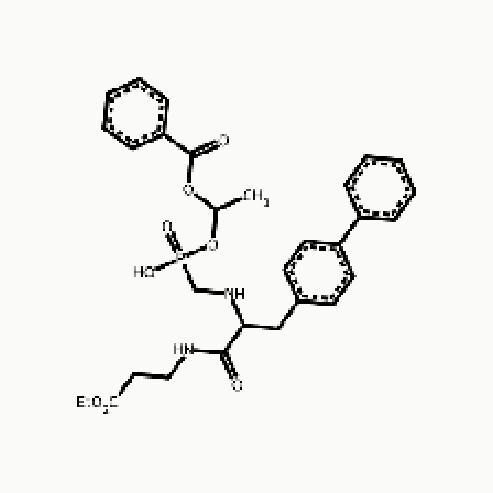 CCOC(=O)CCNC(=O)C(Cc1ccc(-c2ccccc2)cc1)NCP(=O)(O)OC(C)OC(=O)c1ccccc1